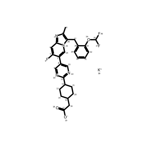 Cc1nc2cc(F)c(-c3cnc(C4CCC(CC(=O)[O-])CC4)nc3)cn2c1Cc1ccccc1OC(F)F.[K+]